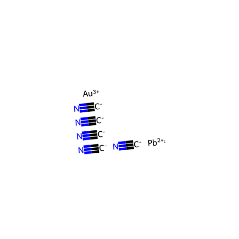 [Au+3].[C-]#N.[C-]#N.[C-]#N.[C-]#N.[C-]#N.[Pb+2]